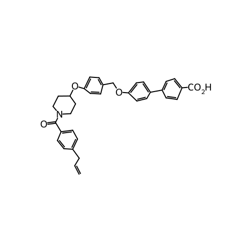 C=CCc1ccc(C(=O)N2CCC(Oc3ccc(COc4ccc(-c5ccc(C(=O)O)cc5)cc4)cc3)CC2)cc1